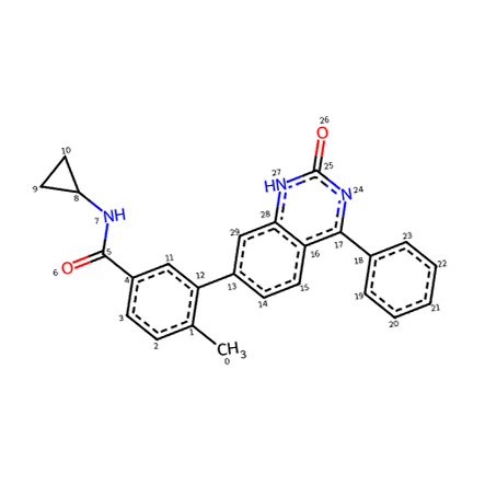 Cc1ccc(C(=O)NC2CC2)cc1-c1ccc2c(-c3ccccc3)nc(=O)[nH]c2c1